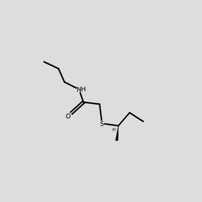 CCCNC(=O)CS[C@H](C)CC